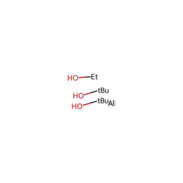 CC(C)(C)O.CC(C)(C)O.CCO.[Al]